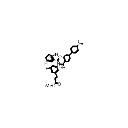 [2H]C(c1ccc(-c2ccc(N(C)C)cc2)cc1)N(C(=O)[C@@H]1C[C@@H]2CC[C@H]1C2)c1cc(F)cc(/C=C/C(=O)OC)c1